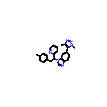 Cc1ccc(CC(c2ccccn2)n2cnc3ccc(-c4c(C)nnn4C)cc32)cc1